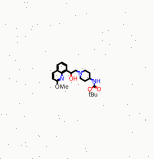 COc1ccc2cccc(C(O)CN3CCC(NC(=O)OC(C)(C)C)CC3)c2n1